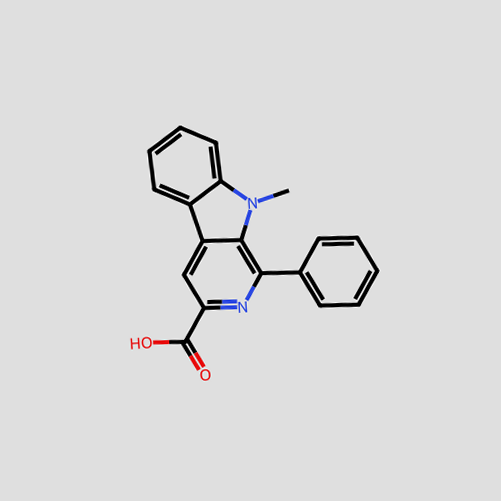 Cn1c2ccccc2c2cc(C(=O)O)nc(-c3ccccc3)c21